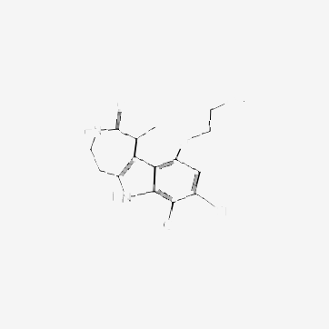 CC1C(=O)NCCc2[nH]c3c(Cl)c(Cl)cc(OCCO)c3c21